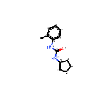 Cc1ccccc1NC(=O)NC1CCCC1